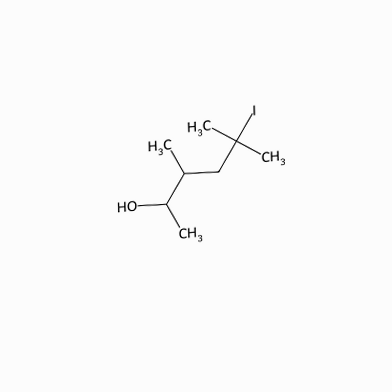 CC(O)C(C)CC(C)(C)I